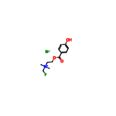 C[N+](C)(CF)CCOC(=O)c1ccc(O)cc1.[Br-]